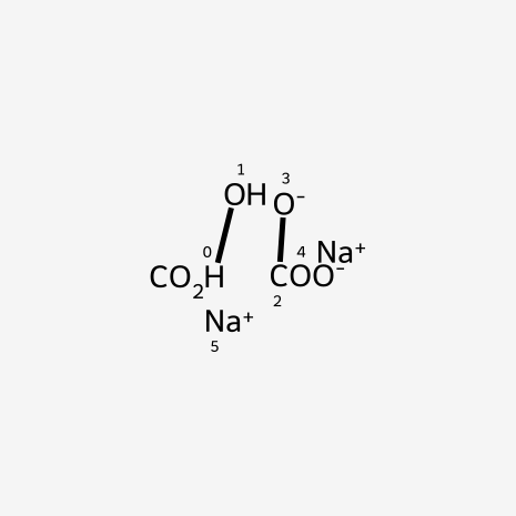 O=C(O)O.O=C([O-])[O-].[Na+].[Na+]